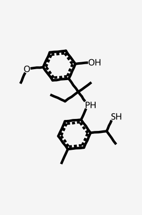 CCC(C)(Pc1ccc(C)cc1C(C)S)c1cc(OC)ccc1O